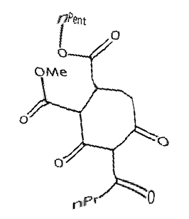 CCCCCOC(=O)C1CC(=O)C(C(=O)CCC)C(=O)C1C(=O)OC